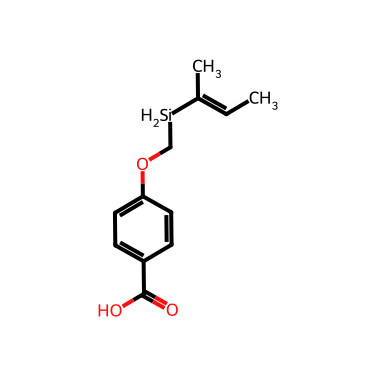 CC=C(C)[SiH2]COc1ccc(C(=O)O)cc1